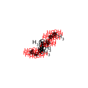 C[C@@H]1O[C@@H](O[C@H]2[C@H](O)[C@@H](O)[C@H](OC[C@H]3O[C@@H](OC(=O)[C@]45CCC(C)(C)C[C@H]4C4=CC[C@@H]6[C@@]7(C)CC[C@H](O[C@@H]8OC[C@H](O[C@@H]9O[C@H](CO)[C@@H](O)[C@H](O)[C@H]9O)[C@H](O)[C@H]8O)[C@@](C)(CO)[C@@H]7CC[C@@]6(C)[C@]4(C)CC5)[C@H](O)[C@@H](O)[C@@H]3O)O[C@@H]2CO)[C@H](O)[C@H](O)[C@H]1O